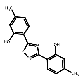 Cc1ccc(-c2nsc(-c3ccc(C)cc3O)n2)c(O)c1